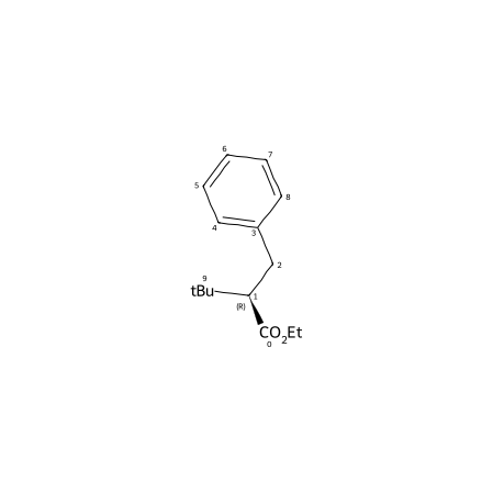 CCOC(=O)[C@H](Cc1ccccc1)C(C)(C)C